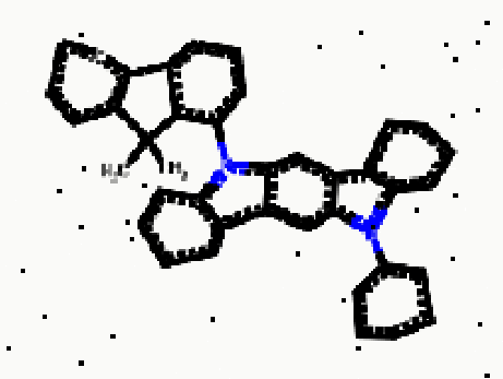 CC1(C)c2ccccc2-c2cccc(-n3c4ccccc4c4cc5c(cc43)c3ccccc3n5-c3ccccc3)c21